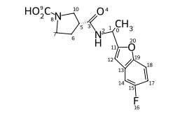 CC(NC(=O)[C@@H]1CCN(C(=O)O)C1)c1cc2cc(F)ccc2o1